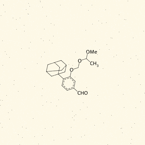 COC(C)OCOc1cc(C=O)ccc1C12CC3CC(CC(C3)C1)C2